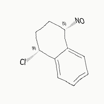 O=N[C@H]1CC[C@@H](Cl)c2ccccc21